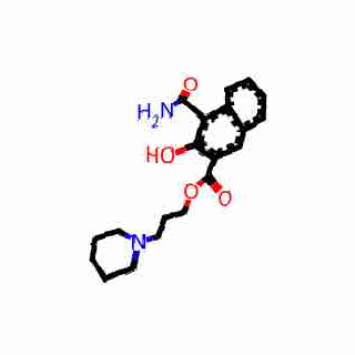 NC(=O)c1c(O)c(C(=O)OCCCN2CCCCC2)cc2ccccc12